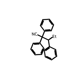 CCC(c1ccccc1)C(C#N)(c1ccccc1)c1ccccc1